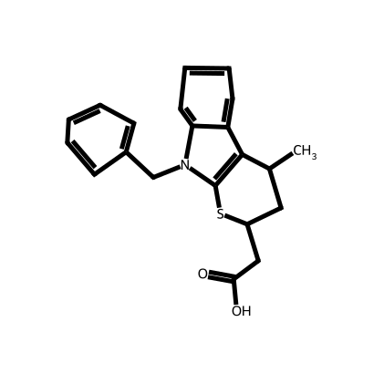 CC1CC(CC(=O)O)Sc2c1c1ccccc1n2Cc1ccccc1